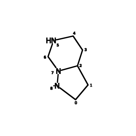 C1CC2CCNCN2[N]1